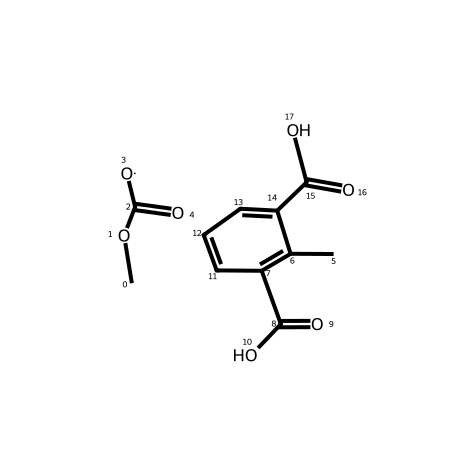 COC([O])=O.Cc1c(C(=O)O)cccc1C(=O)O